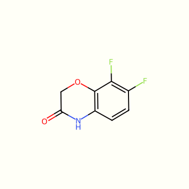 O=C1COc2c(ccc(F)c2F)N1